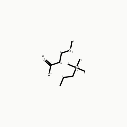 CCC[N+](C)(C)C.CSCCC(=O)[O-]